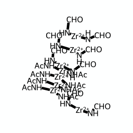 CC(=O)[NH][Zr+2][NH]C(C)=O.CC(=O)[NH][Zr+2][NH]C(C)=O.CC(=O)[NH][Zr+2][NH]C(C)=O.CC(=O)[NH][Zr+2][NH]C(C)=O.O=C[NH][Zr+2][NH]C=O.O=C[NH][Zr+2][NH]C=O.O=C[NH][Zr+2][NH]C=O.O=C[NH][Zr+2][NH]C=O